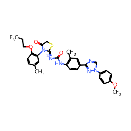 Cc1ccc(OCCC(F)(F)F)c(N2C(=O)CS/C2=N\C(=O)Nc2ccc(-c3ncn(-c4ccc(OC(F)(F)F)cc4)n3)cc2C)c1